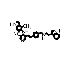 Cc1c(Nc2c(C#N)cncc2/C=C/c2ccc(CNCCc3c[nH]c4ccccc34)cc2)ccc2[nH]ccc12